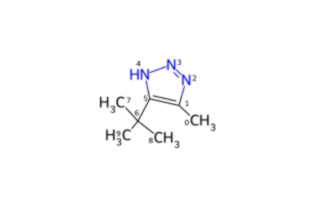 Cc1nn[nH]c1C(C)(C)C